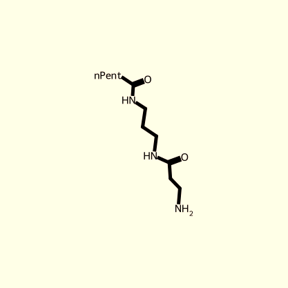 CCCCCC(=O)NCCCNC(=O)CCN